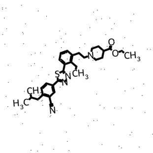 CCOC(=O)C1CCN(CCc2cccc(-c3nnc(-c4ccc(CC(C)C)c(C#N)c4)s3)c2CC)CC1